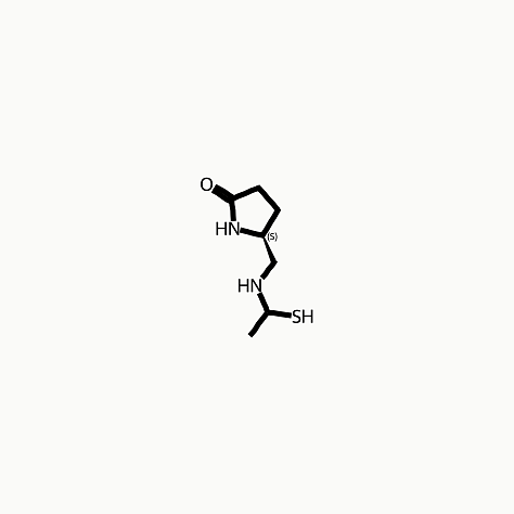 CC(S)NC[C@@H]1CCC(=O)N1